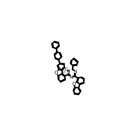 C=N/C(=N\C(=N/Cc1ccccc1)c1cccc2c1oc1ccccc12)c1cccc2oc3cc(-c4ccc(-c5ccccc5)cc4)ccc3c12